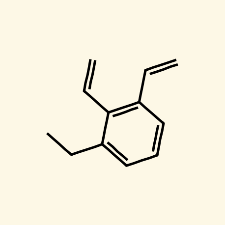 C=Cc1cccc(CC)c1C=C